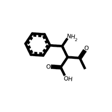 CC(=O)C(C(=O)O)C(N)c1ccccc1